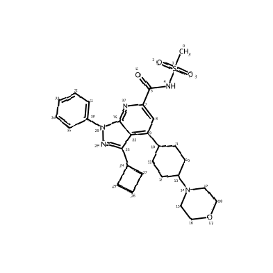 CS(=O)(=O)NC(=O)c1cc(C2CCC(N3CCOCC3)CC2)c2c(C3CCC3)nn(-c3ccccc3)c2n1